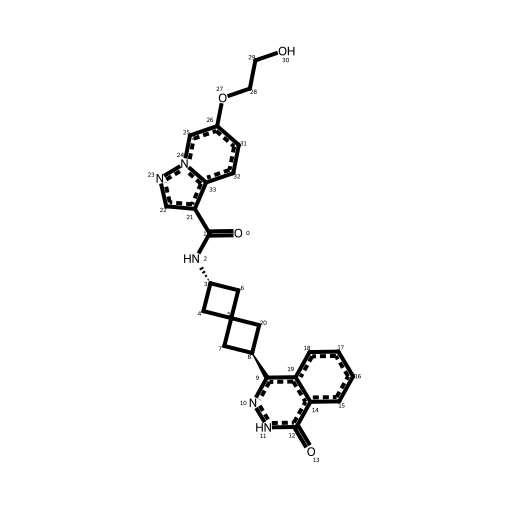 O=C(N[C@H]1CC2(C1)C[C@H](c1n[nH]c(=O)c3ccccc31)C2)c1cnn2cc(OCCO)ccc12